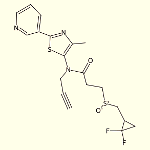 C#CCN(C(=O)CC[S+]([O-])CC1CC1(F)F)c1sc(-c2cccnc2)nc1C